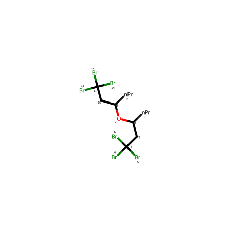 CCCC(CC(Br)(Br)Br)OC(CCC)CC(Br)(Br)Br